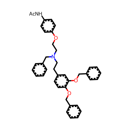 CC(=O)Nc1ccc(OCCN(CCc2ccc(OCc3ccccc3)c(OCc3ccccc3)c2)Cc2ccccc2)cc1